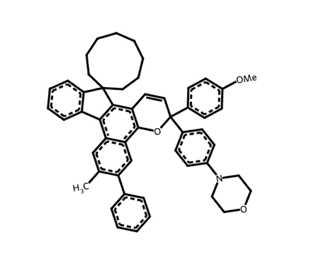 COc1ccc(C2(c3ccc(N4CCOCC4)cc3)C=Cc3c4c(c5cc(C)c(-c6ccccc6)cc5c3O2)-c2ccccc2C42CCCCCCCC2)cc1